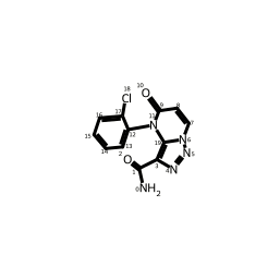 NC(=O)c1nnn2ccc(=O)n(-c3ccccc3Cl)c12